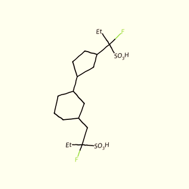 CCC(F)(CC1CCCC(C2CCC(C(F)(CC)S(=O)(=O)O)C2)C1)S(=O)(=O)O